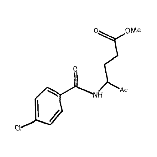 COC(=O)CCC(NC(=O)c1ccc(Cl)cc1)C(C)=O